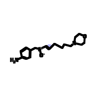 Nc1ccc(C[S+]([O-])/C=C/CCCCN2CCOCC2)cc1